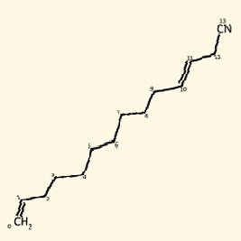 C=CCCCCCCCCC=CCC#N